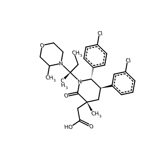 CC[C@@](C)(N1CCOCC1C)N1C(=O)[C@@](C)(CC(=O)O)C[C@H](c2cccc(Cl)c2)[C@H]1c1ccc(Cl)cc1